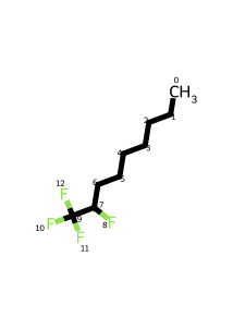 CCCCCCC[C](F)C(F)(F)F